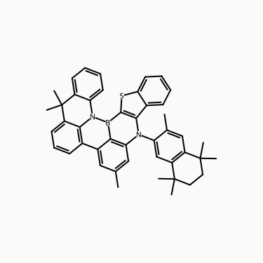 Cc1cc2c3c(c1)N(c1cc4c(cc1C)C(C)(C)CCC4(C)C)c1c(sc4ccccc14)B3N1c3ccccc3C(C)(C)c3cccc-2c31